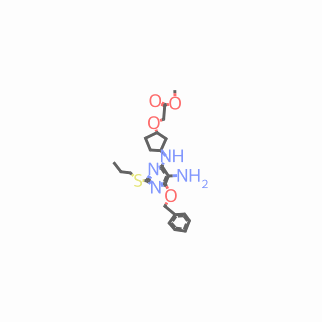 CCCSc1nc(NC2CCC(OCC(=O)OC)C2)c(N)c(OCc2ccccc2)n1